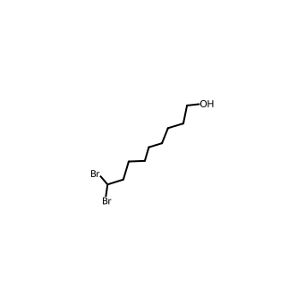 OCCCCCCCCC(Br)Br